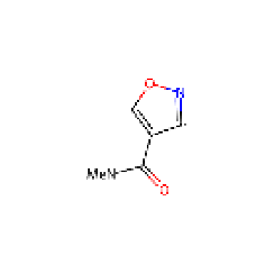 CNC(=O)c1[c]noc1